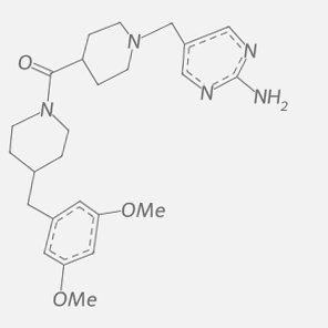 COc1cc(CC2CCN(C(=O)C3CCN(Cc4cnc(N)nc4)CC3)CC2)cc(OC)c1